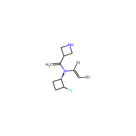 C=C(C1CNC1)N(/C(=C/CC)CC)[C@@H]1CCC1F